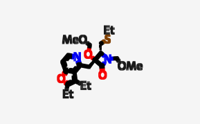 CCSC[C@@H]1N(COC)C(=O)[C@]1(Cc1nccc2oc(CC)c(CC)c12)OCOC